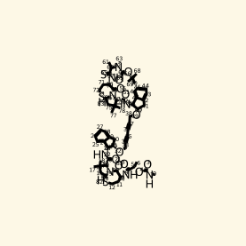 CNC(=O)OC(C)C(=O)N[C@H]1CCS[C@H]2CC(C)(C)[C@@H](C(=O)N[C@H]3c4ccccc4C[C@H]3OCC#CC#CCO[C@@H]3Cc4ccccc4[C@@H]3NC(=O)[C@H]3N4C(=O)[C@@H](NC(=S)C(C)N(C)C(=O)OC(C)(C)C)CCS[C@H]4CC3(C)C)N2C1=O